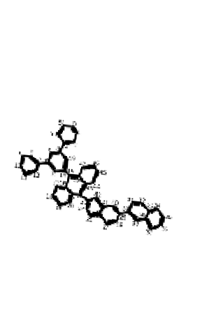 c1ccc(-c2cc(-c3ccccc3)cc(-c3c4ccccc4c(-c4ccc5ccc(-c6ccc7ccccc7c6)cc5c4)c4ccccc34)c2)cc1